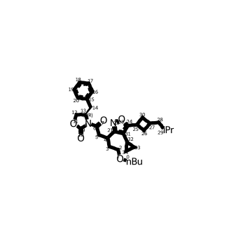 CCCCOCCC(CC(=O)N1C(=O)OC[C@H]1Cc1ccccc1)c1noc(C2CC(CC(C)C)C2)c1C1CC1